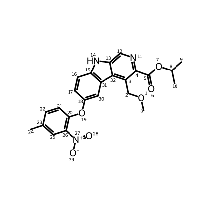 COCc1c(C(=O)OC(C)C)ncc2[nH]c3ccc(Oc4ccc(C)cc4[N+](=O)[O-])cc3c12